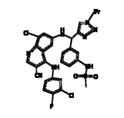 CC(C)n1cc(C(Nc2cc(Cl)c3ncc(C#N)c(Nc4ccc(F)c(Cl)c4)c3c2)c2cccc(NS(C)(=O)=O)c2)nn1